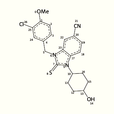 COc1ccc(Cn2c(=S)n(C3CCC(O)CC3)c3ccc(C#N)cc32)cc1Cl